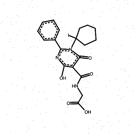 O=C(O)CNC(=O)c1c(O)nc(-c2ccccc2)n(C2(I)CCCCC2)c1=O